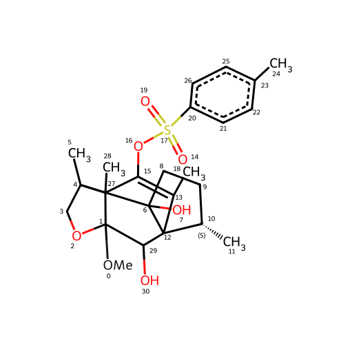 COC12OCC3(C)C4(O)CC[C@H](C)C4(C(C)=C(OS(=O)(=O)c4ccc(C)cc4)C13C)C2O